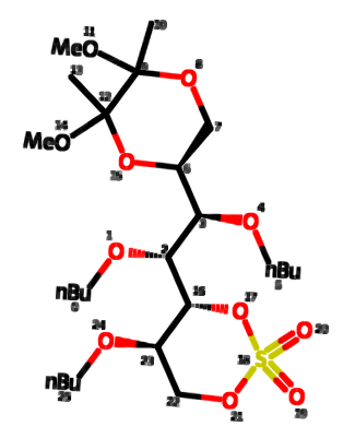 CCCCO[C@H]([C@H](OCCCC)[C@@H]1COC(C)(OC)C(C)(OC)O1)[C@@H]1OS(=O)(=O)OC[C@H]1OCCCC